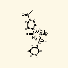 CC(=O)c1ccc(S(=O)(=O)N[C@]2(C(=O)O)C[C@H]2c2ccccc2)cc1